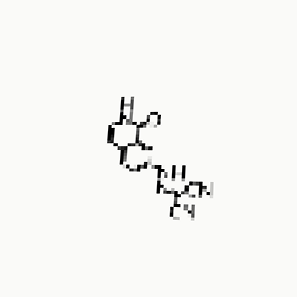 N#CC(C#N)=NNc1ccc2cc[nH]c(=O)c2c1